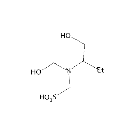 CCC(CO)N(CO)CS(=O)(=O)O